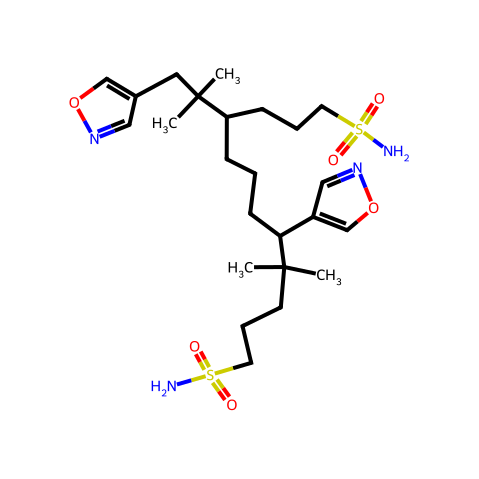 CC(C)(Cc1cnoc1)C(CCCC(c1cnoc1)C(C)(C)CCCS(N)(=O)=O)CCCS(N)(=O)=O